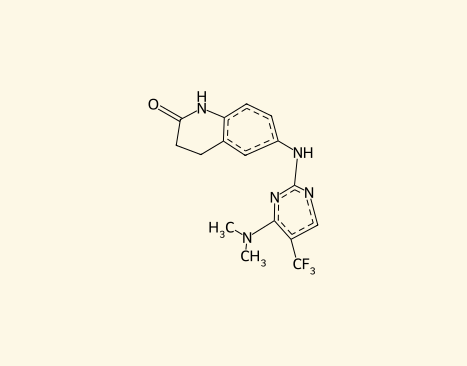 CN(C)c1nc(Nc2ccc3c(c2)CCC(=O)N3)ncc1C(F)(F)F